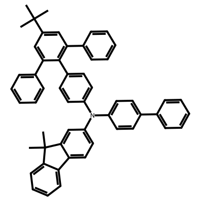 CC(C)(C)c1cc(-c2ccccc2)c(-c2ccc(N(c3ccc(-c4ccccc4)cc3)c3ccc4c(c3)C(C)(C)c3ccccc3-4)cc2)c(-c2ccccc2)c1